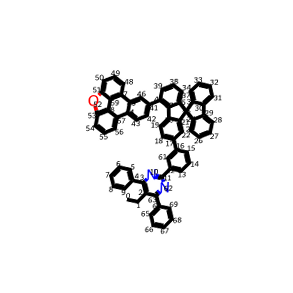 CCc1c(-c2ccccc2)nc(-c2cccc(-c3ccc4c(c3)C3(c5ccccc5-c5ccccc53)c3cccc(-c5ccc6c(c5)c5cccc7oc8cccc6c8c75)c3-4)c2)nc1-c1ccccc1